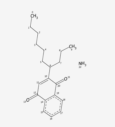 CCCCCCC(CCC)C1=CC(=O)c2ccccc2C1=O.N